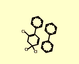 ClC1=C(c2ccccc2)C=CC(Cl)(Cl)C1.c1ccc(-c2ccccc2)cc1